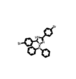 Brc1ccc(C2=NN(N(c3ccccc3)c3ccccc3)C(c3ccc(Br)cc3)N2)cc1